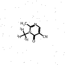 [2H]C([2H])([2H])n1c(C)ncc(C#N)c1=O